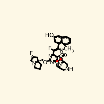 CN1C(c2cc(O)cc3ccccc23)=C(F)c2nc(OC[C@@]34CCCN3C[C@H](F)C4)nc(N3C4CNCC3COC4)c2S1(=O)=O